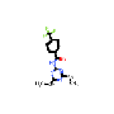 [CH3][Sn][c]1nc(NC(=O)c2ccc(C(F)(F)F)cc2)n[c]([Sn][CH3])n1